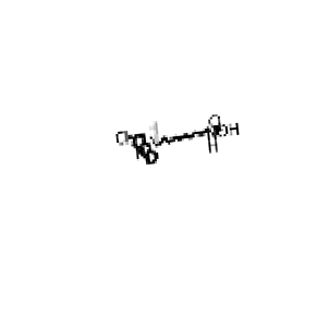 O=C(O)NCCCCCCCCCCNc1c2c(nc3cc(Cl)ccc13)CCCC2